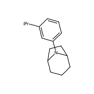 CC(C)c1cccc(N2C3CCCC2CC3)c1